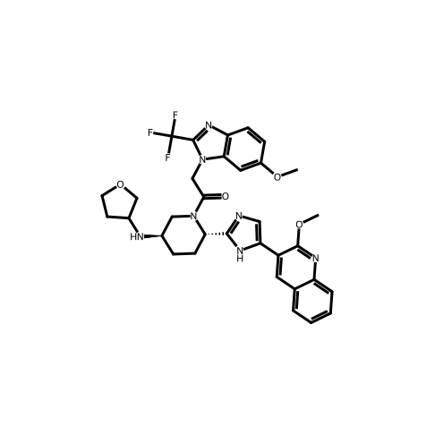 COc1ccc2nc(C(F)(F)F)n(CC(=O)N3C[C@H](NC4CCOC4)CC[C@H]3c3ncc(-c4cc5ccccc5nc4OC)[nH]3)c2c1